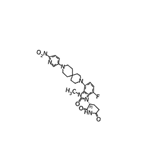 Cn1c(=O)n([C@@H]2CCC(=O)NC2=O)c2c(F)ccc(N3CCC4(CCN(c5ccc([N+](=O)[O-])nc5)CC4)CC3)c21